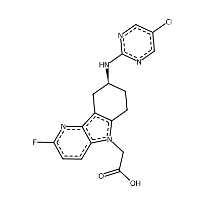 O=C(O)Cn1c2c(c3nc(F)ccc31)C[C@@H](Nc1ncc(Cl)cn1)CC2